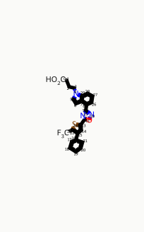 O=C(O)CCCn1ccc2c(-c3noc(-c4cc(-c5ccccc5)c(C(F)(F)F)s4)n3)cccc21